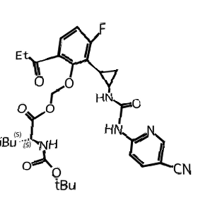 CCC(=O)c1ccc(F)c(C2CC2NC(=O)Nc2ccc(C#N)cn2)c1OCOC(=O)[C@@H](NC(=O)OC(C)(C)C)[C@@H](C)CC